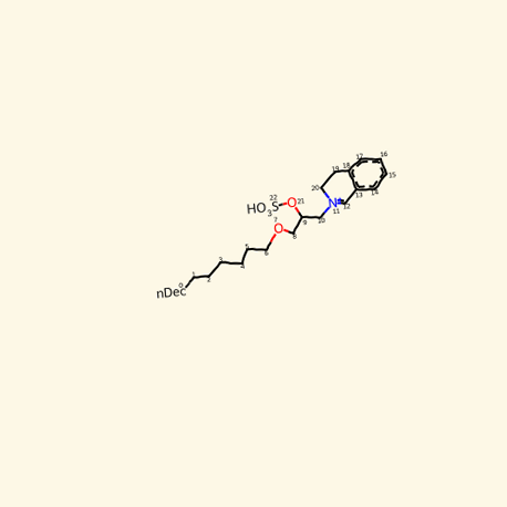 CCCCCCCCCCCCCCCCOCC(C[N+]1=Cc2ccccc2CC1)OS(=O)(=O)O